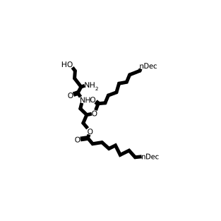 CCCCCCCCCCCCCCCCCC(=O)OCC(CNC(=O)C(N)CCO)OC(=O)CCCCCCCCCCCCCCCCC